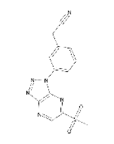 CS(=O)(=O)c1cnc2nnn(-c3cccc(CC#N)c3)c2n1